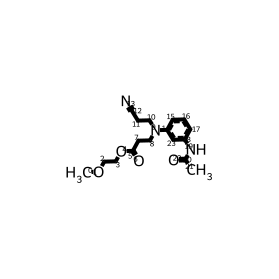 COCCOC(=O)CCN(CCC#N)c1cccc(NC(C)=O)c1